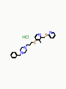 Cc1c(SCCCN2CCN(Cc3ccccc3)CC2)ccnc1CSc1ccccn1.Cl